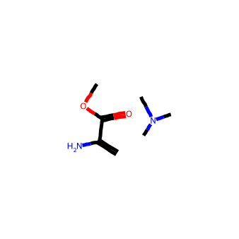 C=C(N)C(=O)OC.CN(C)C